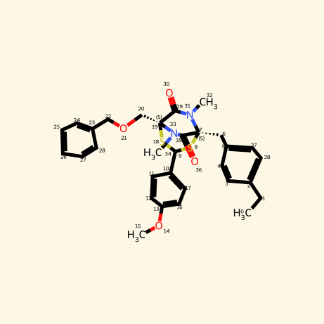 CCc1ccc(C[C@@]23SC(c4ccc(OC)cc4)S[C@@](COCc4ccccc4)(C(=O)N2C)N(C)C3=O)cc1